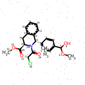 C=C(/C=C\C(=C/C)C(O)OC)[C@H]1c2ccccc2C[C@H](C(=O)OC)N1C(=O)CCl